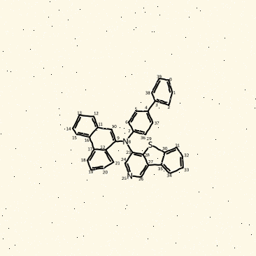 c1ccc(-c2ccc(N(c3cc4ccccc4c4ccccc34)c3cncc4c3sc3ccccc34)cc2)cc1